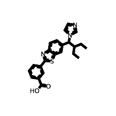 CCC(CC)C(c1ccc2nc(-c3cccc(C(=O)O)c3)sc2c1)n1ccnc1